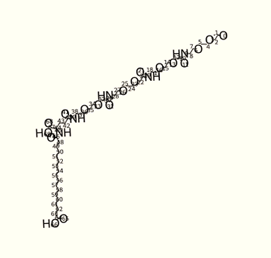 O=[C]COCCOCCNC(=O)COCCOCCNC(=O)COCCOCCNC(=O)COCCOCCNC(=O)CCC(NC(=O)CCCCCCCCCCCCCCCCC(=O)O)C(=O)O